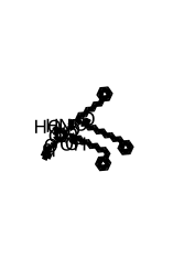 CC(C)(C)[Si](C)(C)OC[C@H]1OC(O)[C@H](NC(=O)C[C@@H](CCCCCCc2ccccc2)OC(=O)CCCCCCCCc2ccccc2)[C@@H](OC(=O)CCCCCCCCc2ccccc2)[C@@H]1O